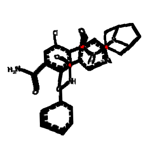 NC(=O)c1cc(Cl)c(C(=O)NC2CC3CCC(C2)N3c2ccc(C(=O)NCc3ccccc3)cn2)cc1Cl